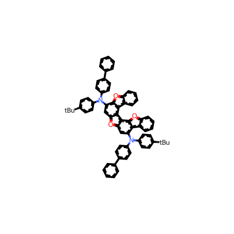 CC(C)(C)c1ccc(N(c2ccc(-c3ccccc3)cc2)c2cc3oc4cc(N(c5ccc(-c6ccccc6)cc5)c5ccc(C(C)(C)C)cc5)c5c6ccccc6oc5c4c3c3c2oc2ccccc23)cc1